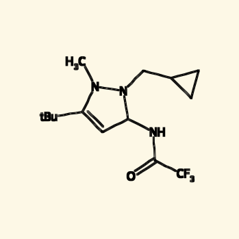 CN1C(C(C)(C)C)=CC(NC(=O)C(F)(F)F)N1CC1CC1